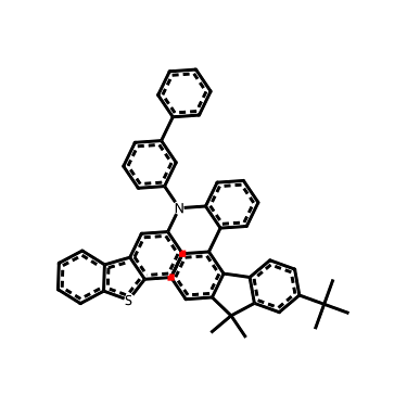 CC(C)(C)c1ccc2c(c1)C(C)(C)c1cccc(-c3ccccc3N(c3cccc(-c4ccccc4)c3)c3ccc4sc5ccccc5c4c3)c1-2